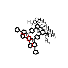 CC(C)(C)c1cc(-c2ccc(N(c3ccc(-c4ccccc4)cc3)c3ccc(-c4ccccc4)cc3)cc2)c2c(c1)C(C)(C)c1cc(C(C)(C)C)cc(-c3ccc(N(c4ccc(-c5ccccc5)cc4)c4ccc(-c5ccccc5)cc4)cc3)c1O2